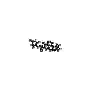 O=C(NCc1c(F)cc(F)cc1F)c1cn2ccn([C@@H]3CCC34CC[C@H]4O)c(=O)c2c(O)c1=O